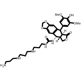 COc1cc(C2c3cc4c(cc3[C@@H](NC(=O)NCCCNCCCNCCCN)[C@H]3COC(=O)[C@H]23)OCO4)cc(OC)c1O